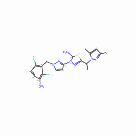 Cc1cc(C)n(C(C)C2=NN(c3ccn(Cc4c(F)ccc(N)c4F)n3)C(N)S2)n1